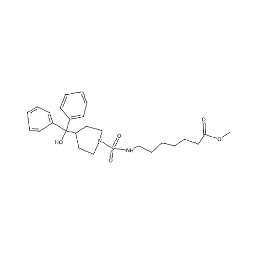 COC(=O)CCCCCCNS(=O)(=O)N1CCC(C(O)(c2ccccc2)c2ccccc2)CC1